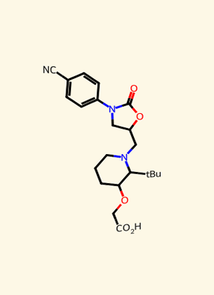 CC(C)(C)C1C(OCC(=O)O)CCCN1CC1CN(c2ccc(C#N)cc2)C(=O)O1